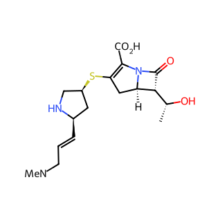 CNC/C=C/[C@@H]1C[C@H](SC2=C(C(=O)O)N3C(=O)[C@H]([C@@H](C)O)[C@H]3C2)CN1